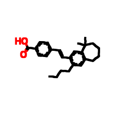 CCCCc1cc2c(cc1C=Cc1ccc(C(=O)O)cc1)C(C)(C)CCCC2